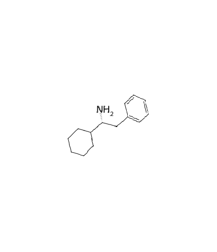 N[C@H](Cc1ccccc1)C1CCCCC1